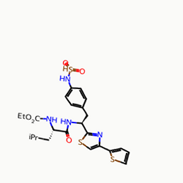 CCOC(=O)N[C@@H](CC(C)C)C(=O)N[C@@H](Cc1ccc(N[SH](=O)=O)cc1)c1nc(-c2cccs2)cs1